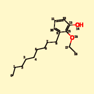 CCCCCCCCCc1cccc(O)c1OCC